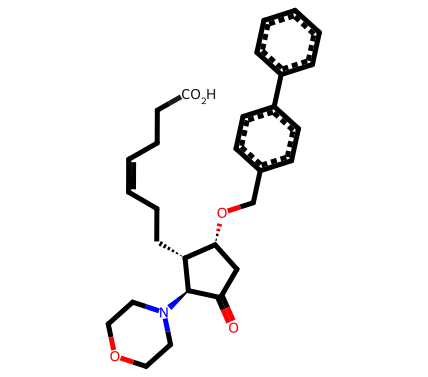 O=C(O)CC/C=C\CC[C@H]1[C@H](N2CCOCC2)C(=O)C[C@H]1OCc1ccc(-c2ccccc2)cc1